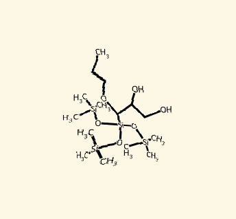 CCCOC(C(O)CO)[Si](O[Si](C)(C)C)(O[Si](C)(C)C)O[Si](C)(C)C